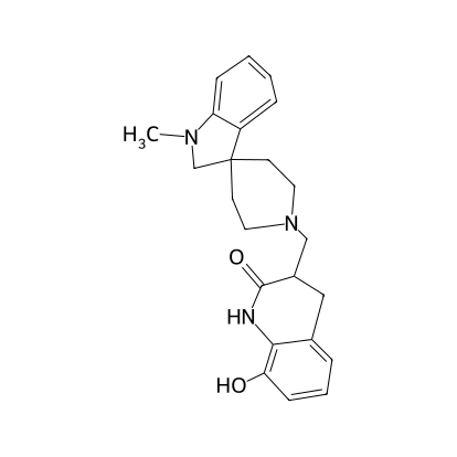 CN1CC2(CCN(CC3Cc4cccc(O)c4NC3=O)CC2)c2ccccc21